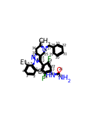 CCc1cccc(CC)c1-n1nc2c(c1-c1cc(F)c(NC(N)=O)cc1F)CN(Cc1ccccc1)C(C)C2